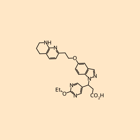 CCOc1ncc(C(CC(=O)O)n2ncc3cc(OCCc4ccc5c(n4)NCCC5)ccc32)cn1